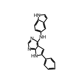 c1ccc(-c2cc3c(Nc4ccc5[nH]ccc5c4)ncnc3[nH]2)cc1